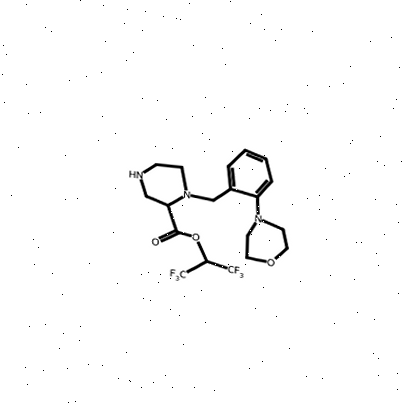 O=C(OC(C(F)(F)F)C(F)(F)F)C1CNCCN1Cc1ccccc1N1CCOCC1